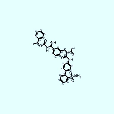 CC(OC(=O)NC(=N)c1cccc(CN(C(=O)Nc2ccc(-c3ccccc3S(N)(=O)=O)cc2)C(C)C)c1)c1ccccn1